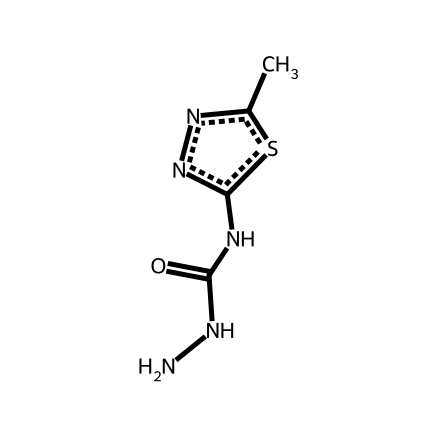 Cc1nnc(NC(=O)NN)s1